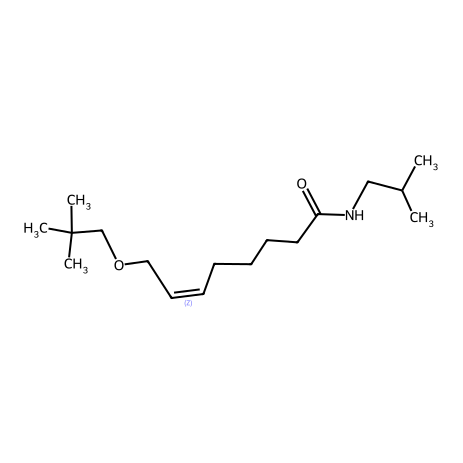 CC(C)CNC(=O)CCCC/C=C\COCC(C)(C)C